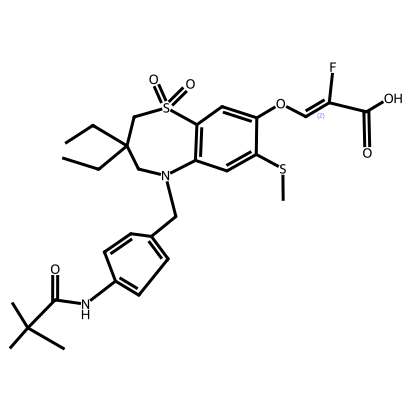 CCC1(CC)CN(Cc2ccc(NC(=O)C(C)(C)C)cc2)c2cc(SC)c(O/C=C(\F)C(=O)O)cc2S(=O)(=O)C1